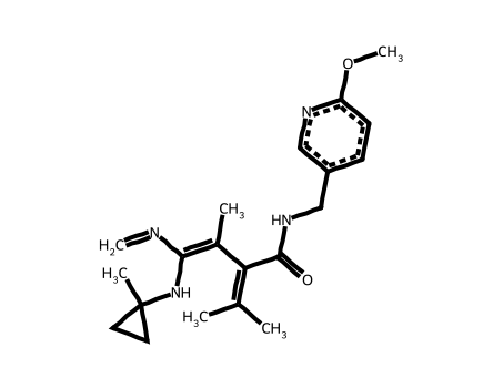 C=N/C(NC1(C)CC1)=C(\C)C(C(=O)NCc1ccc(OC)nc1)=C(C)C